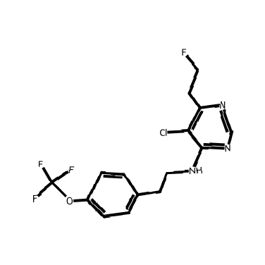 FCCc1ncnc(NCCc2ccc(OC(F)(F)F)cc2)c1Cl